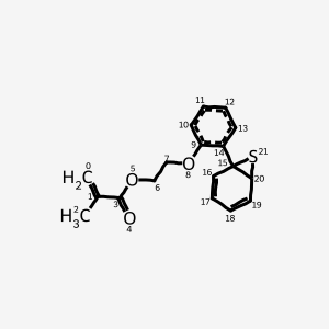 C=C(C)C(=O)OCCOc1ccccc1C12C=CC=CC1S2